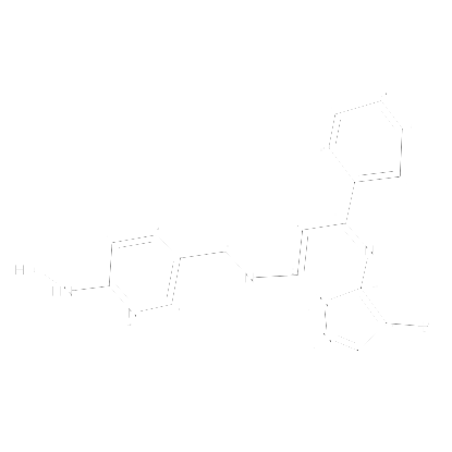 CNc1ccc(CNc2cc(-c3ccccc3)nc3c(Br)cnn23)cn1